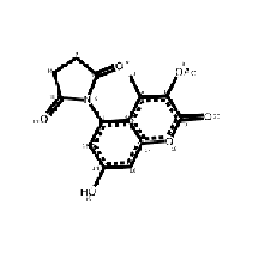 CC(=O)Oc1c(C)c2c(N3C(=O)CCC3=O)cc(O)cc2oc1=O